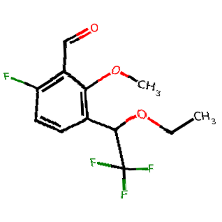 CCOC(c1ccc(F)c(C=O)c1OC)C(F)(F)F